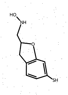 ONCC1Cc2ccc(S)cc2O1